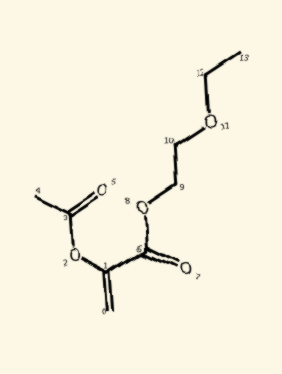 C=C(OC(C)=O)C(=O)OCCOCC